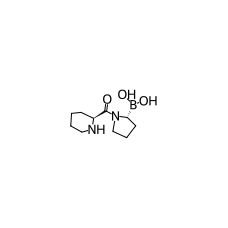 O=C([C@@H]1CCCCN1)N1CCC[C@H]1B(O)O